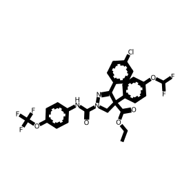 CCOC(=O)C1(c2ccc(OC(F)F)cc2)CN(C(=O)Nc2ccc(OC(F)(F)F)cc2)N=C1c1ccc(Cl)cc1